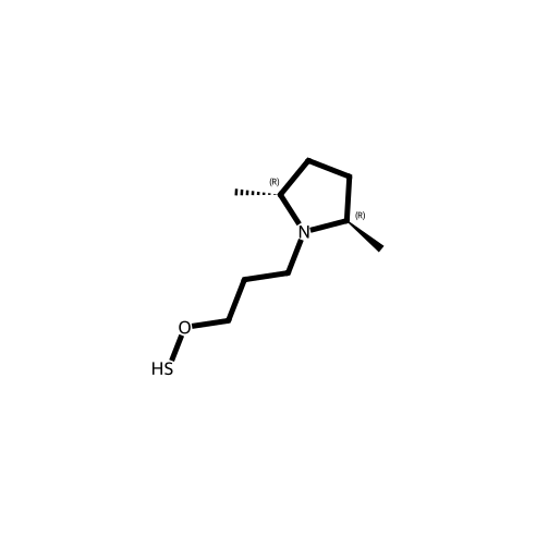 C[C@@H]1CC[C@@H](C)N1CCCOS